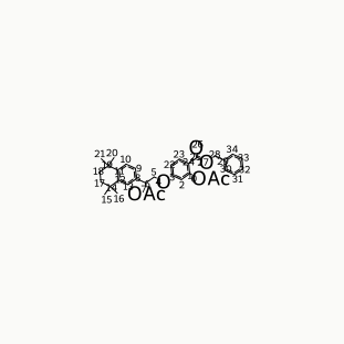 CC(=O)Oc1cc(OCC(OC(C)=O)c2ccc3c(c2)C(C)(C)CCC3(C)C)ccc1C(=O)OCc1ccccc1